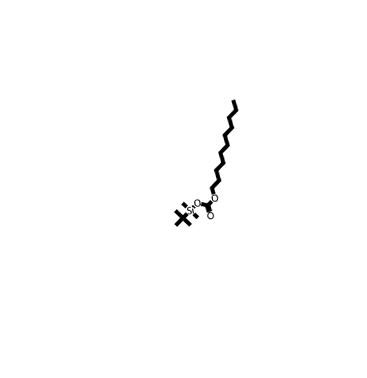 CCCCCCCCCCCOC(=O)O[Si](C)(C)C(C)(C)C